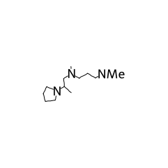 CNCCCN(C)CC(C)N1CCCC1